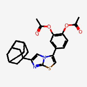 CC(=O)Oc1ccc(-c2csc3nc(C45CC6CC(CC(C6)C4)C5)cn23)cc1OC(C)=O